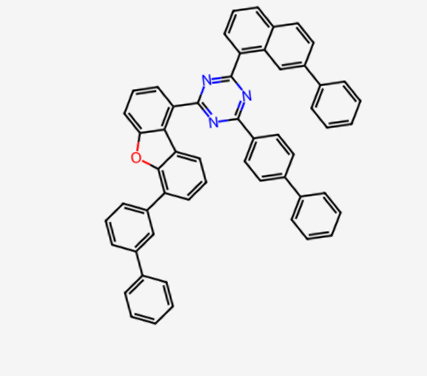 c1ccc(-c2ccc(-c3nc(-c4cccc5ccc(-c6ccccc6)cc45)nc(-c4cccc5oc6c(-c7cccc(-c8ccccc8)c7)cccc6c45)n3)cc2)cc1